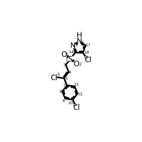 O=S(=O)(CC=C(Cl)c1ccc(Cl)cc1)c1n[nH]cc1Cl